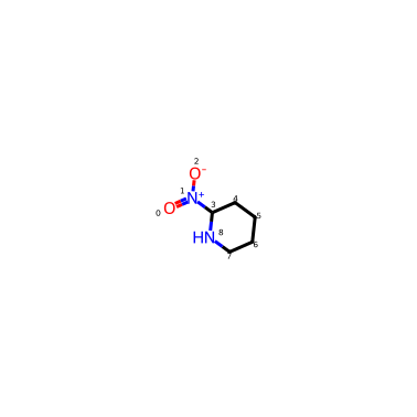 O=[N+]([O-])C1CCCCN1